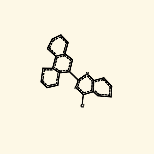 Clc1nc(-c2cc3ccccc3c3ccccc23)nc2ccccc12